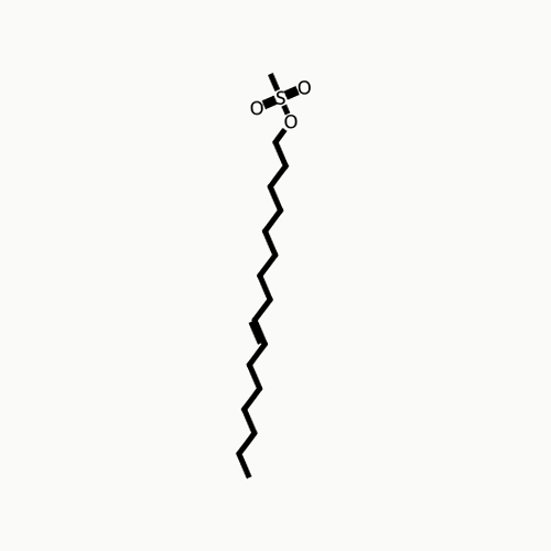 CCCCCCC=CCCCCCCCCOS(C)(=O)=O